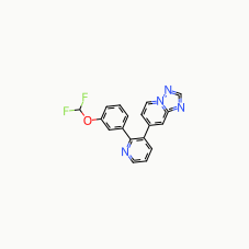 FC(F)Oc1cccc(-c2ncccc2-c2ccn3ncnc3c2)c1